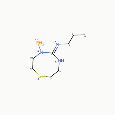 CCC/N=C1\NCCSCCN1P